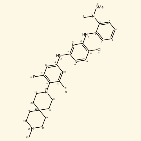 CSN(C)c1ccccc1Nc1nc(Nc2cc(F)c(N3CCC4(CCN(C)CC4)CC3)c(F)c2)ncc1Cl